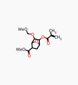 C=C(C)C(=O)OC1C2CC(C(=O)OC)C(O2)C1OCOC